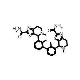 Cc1c(-c2cccc(C3c4sc(C(N)=O)nc4CCN3C)c2C)cccc1C1c2sc(C(N)=O)nc2CCN1C